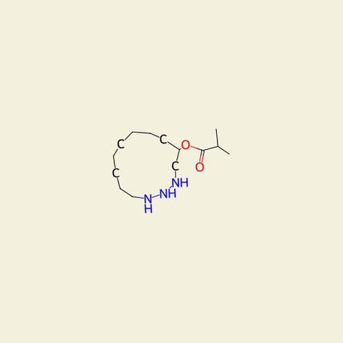 CC(C)C(=O)OC1CCCCCCCCNNNC1